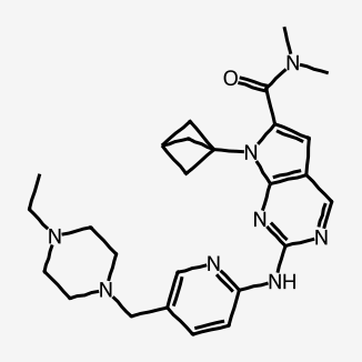 CCN1CCN(Cc2ccc(Nc3ncc4cc(C(=O)N(C)C)n(C56CC(C5)C6)c4n3)nc2)CC1